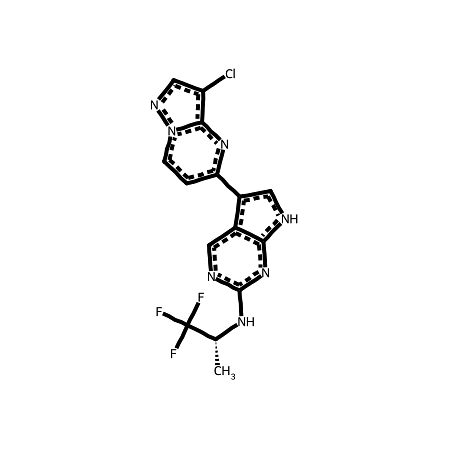 C[C@@H](Nc1ncc2c(-c3ccn4ncc(Cl)c4n3)c[nH]c2n1)C(F)(F)F